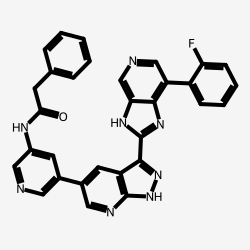 O=C(Cc1ccccc1)Nc1cncc(-c2cnc3[nH]nc(-c4nc5c(-c6ccccc6F)cncc5[nH]4)c3c2)c1